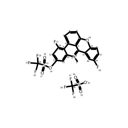 C[n+]1c2c3c(cccc3c3c(F)cc(OS(=O)(=O)C(F)(F)F)cc31)Oc1ccc(F)cc1-2.O=S(=O)([O-])C(F)(F)F